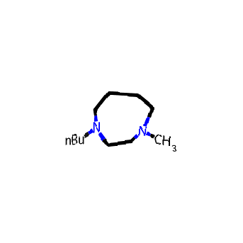 CCCCN1CCCCN(C)CC1